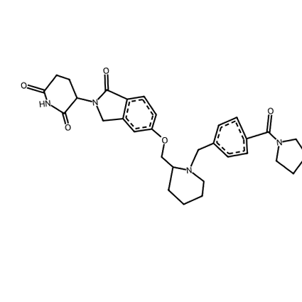 O=C1CCC(N2Cc3cc(OCC4CCCCN4Cc4ccc(C(=O)N5CCCC5)cc4)ccc3C2=O)C(=O)N1